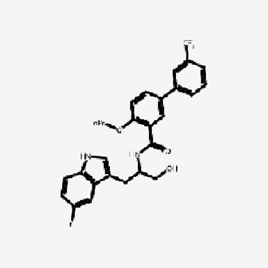 CCCOc1ccc(-c2cccc(C(F)(F)F)c2)cc1C(=O)NC(CO)Cc1c[nH]c2ccc(F)cc12